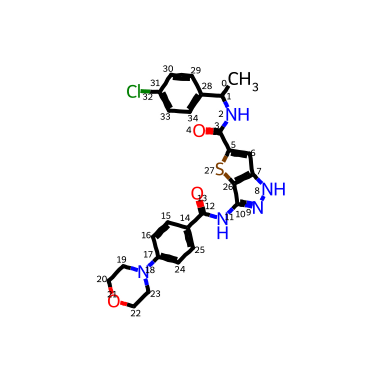 CC(NC(=O)c1cc2[nH]nc(NC(=O)c3ccc(N4CCOCC4)cc3)c2s1)c1ccc(Cl)cc1